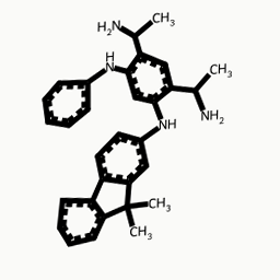 CC(N)c1cc(C(C)N)c(Nc2ccc3c(c2)C(C)(C)c2ccccc2-3)cc1Nc1ccccc1